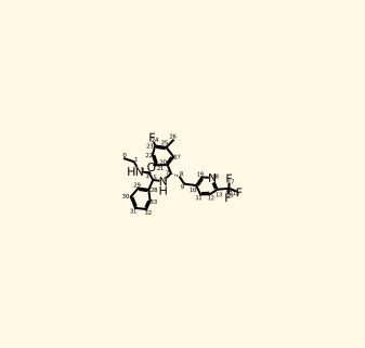 CCNC(=O)C(N[C@@H](CCc1ccc(C(F)(F)F)nc1)c1ccc(F)c(C)c1)c1ccccc1